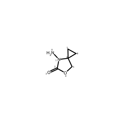 NN1C(=O)OCC12CC2